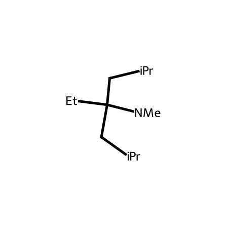 CCC(CC(C)C)(CC(C)C)NC